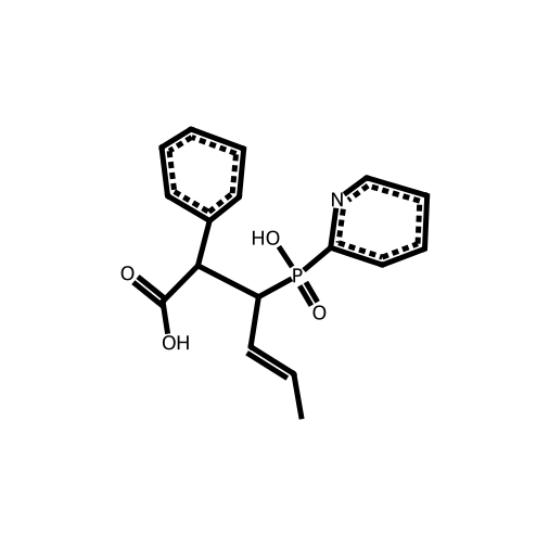 CC=CC(C(C(=O)O)c1ccccc1)P(=O)(O)c1ccccn1